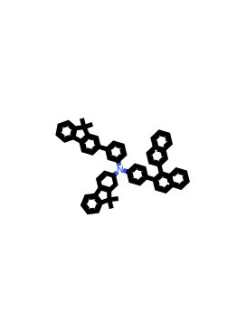 CC1(C)C2=C(C=CC(N(c3ccc(-c4ccc5ccccc5c4-c4ccc5ccccc5c4)cc3)c3cccc(-c4ccc5c(c4)C(C)(C)c4ccccc4-5)c3)C2)c2ccccc21